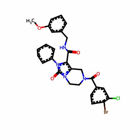 COc1cccc(CNC(=O)c2c3n(c(=O)n2-c2ccccc2)CCN(C(=O)c2ccc(Br)c(Cl)c2)C3)c1